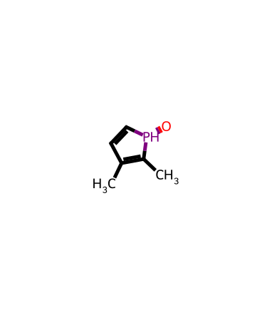 CC1=C(C)[PH](=O)C=C1